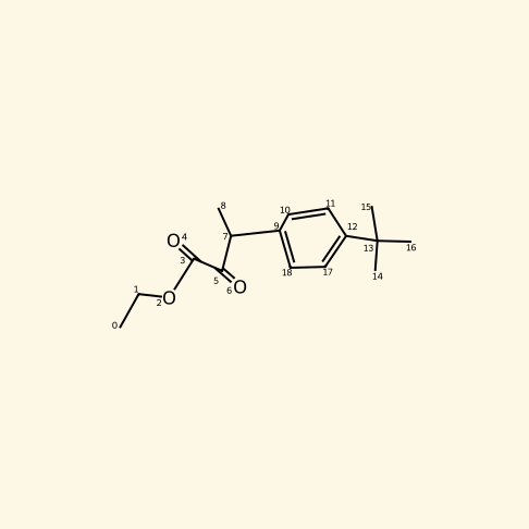 CCOC(=O)C(=O)C(C)c1ccc(C(C)(C)C)cc1